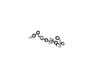 Cc1cc(S(=O)(=O)NC(=O)c2ccc(N3CCN(Cc4ccccc4-c4ccc(Cl)cc4)CC3)cc2)ccc1NC1(CSc2ccccc2)CCCC1